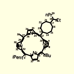 CCCC(C)c1c2nc(c(C(C)CC)c3ccc([nH]3)c(C3CCCC(C(CC)CCC)CCC3)c3nc(c(C)c4ccc1[nH]4)C=C3)C=C2